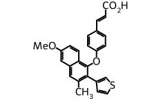 COc1ccc2c(Oc3ccc(C=CC(=O)O)cc3)c(-c3ccsc3)c(C)cc2c1